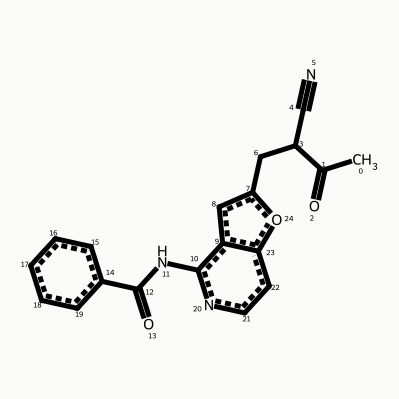 CC(=O)C(C#N)Cc1cc2c(NC(=O)c3ccccc3)nccc2o1